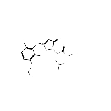 CCOc1ccc(F)c(OC2=CC(=O)N([C@@H](CC(C)C)C(=O)OC)C2)c1F